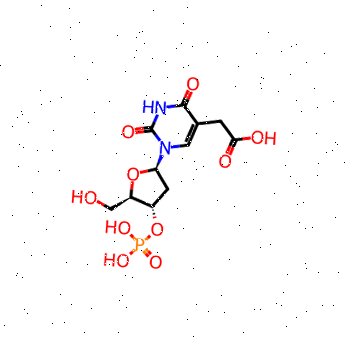 O=C(O)Cc1cn([C@H]2C[C@H](OP(=O)(O)O)[C@@H](CO)O2)c(=O)[nH]c1=O